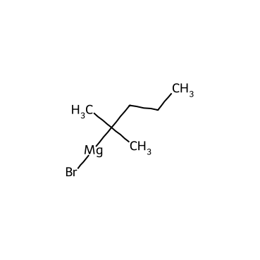 CCC[C](C)(C)[Mg][Br]